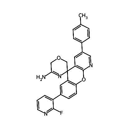 Cc1ccc(-c2cnc3c(c2)C2(COCC(N)=N2)c2cc(-c4cccnc4F)ccc2O3)cc1